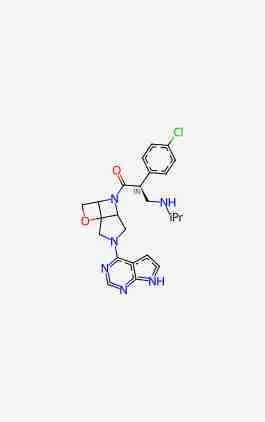 CC(C)NC[C@@H](C(=O)N1C2COC23CN(c2ncnc4[nH]ccc24)CC13)c1ccc(Cl)cc1